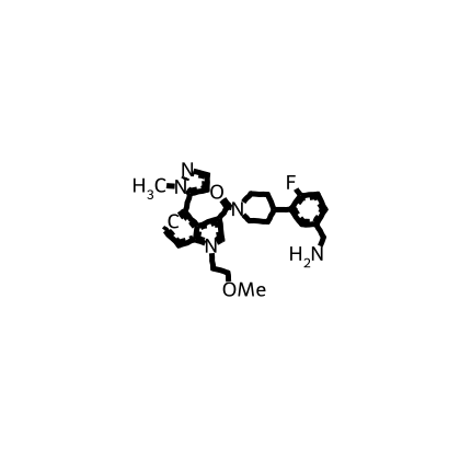 COCCn1cc(C(=O)N2CCC(c3cc(CN)ccc3F)CC2)c2c(-c3ccnn3C)cccc21